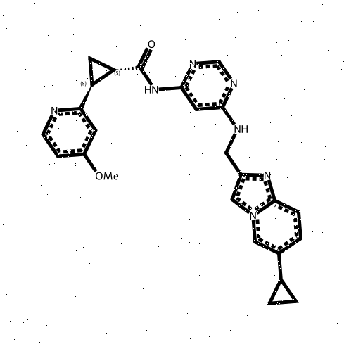 COc1ccnc([C@H]2C[C@@H]2C(=O)Nc2cc(NCc3cn4cc(C5CC5)ccc4n3)ncn2)c1